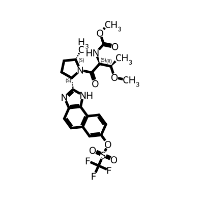 COC(=O)N[C@H](C(=O)N1[C@@H](C)CC[C@H]1c1nc2ccc3cc(OS(=O)(=O)C(F)(F)F)ccc3c2[nH]1)[C@@H](C)OC